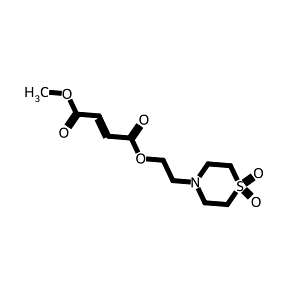 COC(=O)C=CC(=O)OCCN1CCS(=O)(=O)CC1